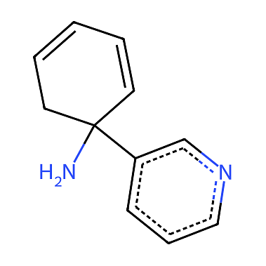 NC1(c2cccnc2)C=CC=CC1